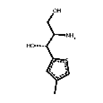 Cc1csc([C@H](O)[C@H](N)CO)c1